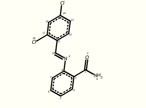 NC(=O)c1ccccc1/N=C/c1ccc(Cl)cc1Cl